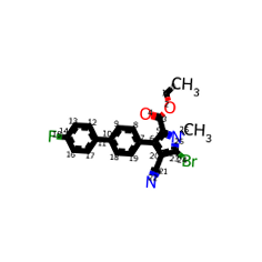 CCOC(=O)c1c(-c2ccc(-c3ccc(F)cc3)cc2)c(C#N)c(Br)n1C